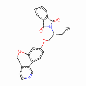 CC(C)C[C@@H](COc1ccc2c(c1)OCc1ccncc1-2)N1C(=O)c2ccccc2C1=O